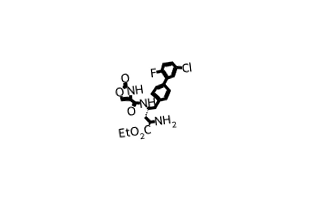 CCOC(=O)[C@H](N)C[C@@H](Cc1ccc(-c2cc(Cl)ccc2F)cc1)NC(=O)c1coc(=O)[nH]1